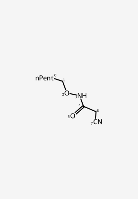 CCCCCCONC(=O)CC#N